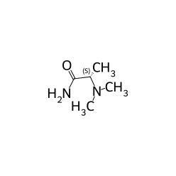 C[C@@H](C(N)=O)N(C)C